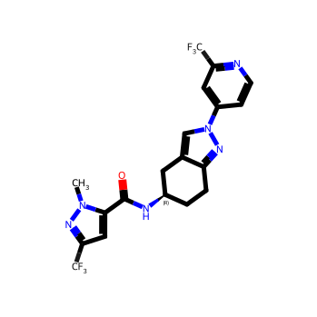 Cn1nc(C(F)(F)F)cc1C(=O)N[C@@H]1CCc2nn(-c3ccnc(C(F)(F)F)c3)cc2C1